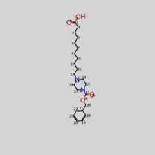 O=C(O)CCCCCCCCCCN1CCN(C(=O)OCc2ccccc2)CC1